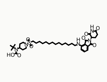 CC(C)(C)N(C(=O)O)C1CCN(S(=O)(=O)CCCCCCCCCCCCCCNc2cccc3c2C(=O)N(C2CCC(=O)NC2=O)C3=O)CC1